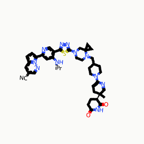 CC(C)Nc1cc(-c2ccc3cc(C#N)cnn23)ncc1-c1nnc(N2CCN(CC3CCN(C4=CCC(C)([C@@H]5CCC(=O)NC5=O)C=N4)CC3)C3(CC3)C2)s1